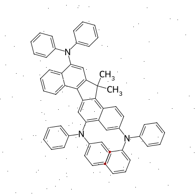 CC1(C)c2cc(N(c3ccccc3)c3ccccc3)c3ccccc3c2-c2cc(N(c3ccccc3)c3ccccc3)c3cc(N(c4ccccc4)c4ccccc4)ccc3c21